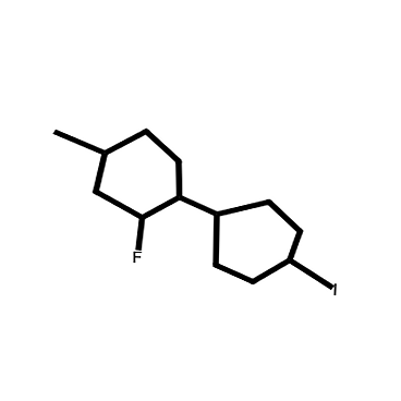 CC1CCC(C2CCC(I)CC2)C(F)C1